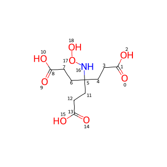 O=C(O)CCC(CCC(=O)O)(CCC(=O)O)NOO